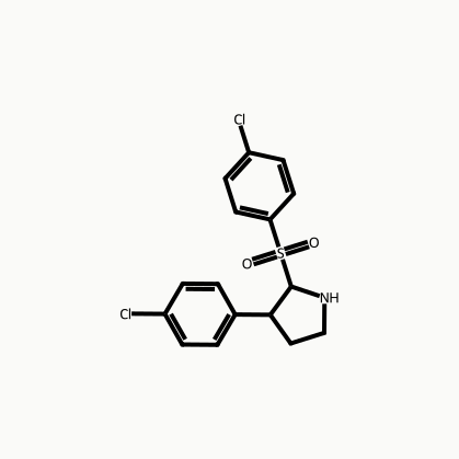 O=S(=O)(c1ccc(Cl)cc1)C1NCCC1c1ccc(Cl)cc1